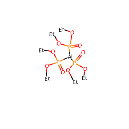 CCO[P](=O)(OCC)[Al]([P](=O)(OCC)OCC)[P](=O)(OCC)OCC